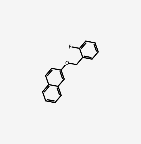 Fc1ccccc1COc1ccc2c[c]ccc2c1